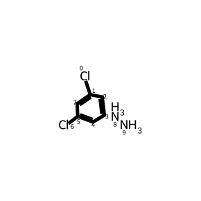 Clc1cccc(Cl)c1.N.N